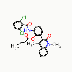 CCCC(=O)Oc1c(NC(=O)c2c(Cl)cccc2Cl)cccc1-c1c(C)c2ccccc2n(C)c1=O